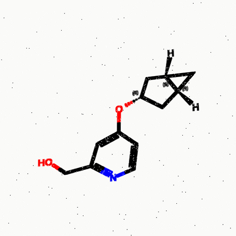 OCc1cc(O[C@@H]2C[C@@H]3C[C@@H]3C2)ccn1